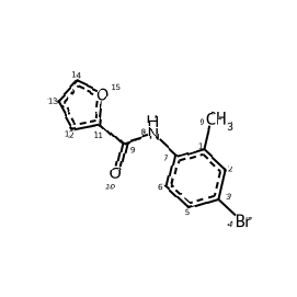 Cc1cc(Br)ccc1NC(=O)c1ccco1